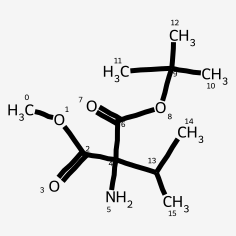 COC(=O)C(N)(C(=O)OC(C)(C)C)C(C)C